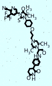 C[C@@H]1CN(CCCO[C@H]2CC[C@H](N3C(=S)N(c4cnc(C#N)c(C(F)(F)F)c4)C(=O)C3(C)C)CC2)C[C@H](C)N1C(C=O)CNc1ccc(C2CCC(=O)NC2=O)cc1